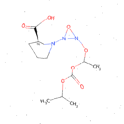 CC(C)OC(=O)OC(C)On1on1N1CCC[C@H]1C(=O)O